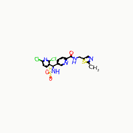 Cc1ncc(CNC(=O)c2ccc(C(N[SH](=O)=O)c3ccc(Cl)nc3Cl)cn2)s1